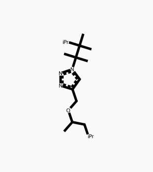 CC(C)CC(C)OCc1cn(C(C)(C)C(C)(C)C(C)C)nn1